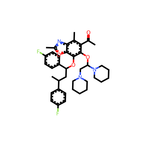 CC(=O)c1c(OC(CN2CCCCC2)N2CCCCC2)c(OC(CC(C)c2ccc(F)cc2)c2ccc(F)cc2)c2oc(C)nc2c1C